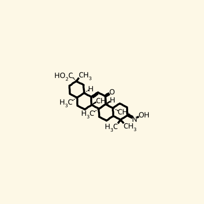 CC1(C)C(=NO)CC[C@@]2(C)C1CC[C@]1(C)[C@@H]2C(=O)C=C2[C@@H]3C[C@@](C)(C(=O)O)CC[C@]3(C)CC[C@]21C